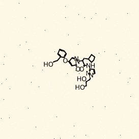 O=C(Nc1ccn(CC(O)CO)n1)C(CC1CCCC1)n1ncc(Oc2ccccc2CCO)cc1=O